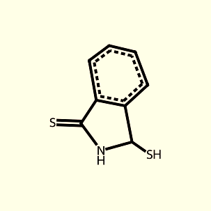 S=C1NC(S)c2ccccc21